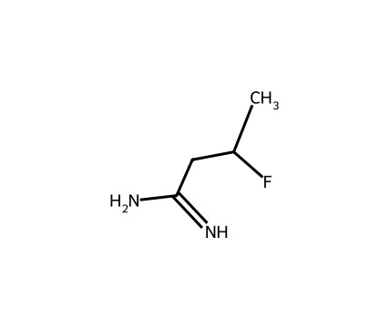 CC(F)CC(=N)N